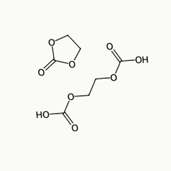 O=C(O)OCCOC(=O)O.O=C1OCCO1